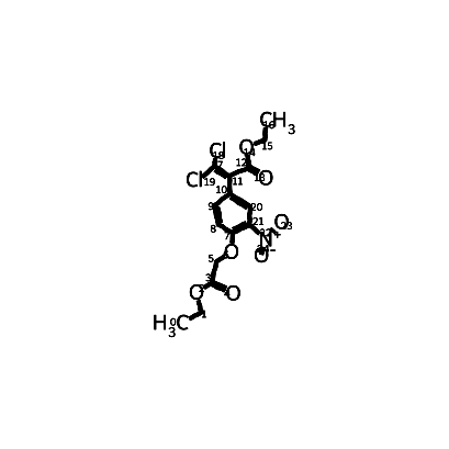 CCOC(=O)COc1ccc(C(C(=O)OCC)=C(Cl)Cl)cc1[N+](=O)[O-]